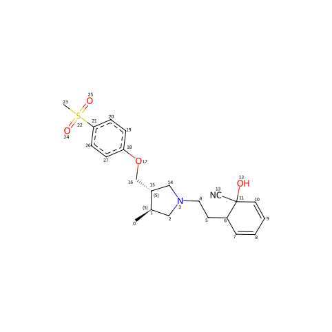 C[C@@H]1CN(CCC2C=CC=CC2(O)C#N)C[C@H]1COc1ccc(S(C)(=O)=O)cc1